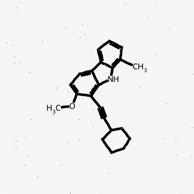 COc1ccc2c([nH]c3c(C)cccc32)c1C#CC1CCCCC1